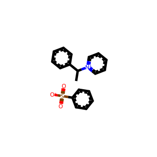 CC(c1ccccc1)[n+]1ccccc1.O=S(=O)([O-])c1ccccc1